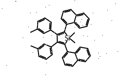 Cc1cccc(C2=C(c3cccc4ccccc34)[Si](C)(C)C(c3cccc4ccccc34)=C2c2cccc(C)c2)c1